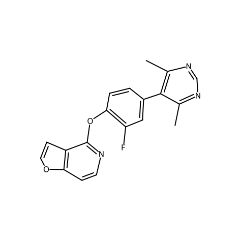 Cc1ncnc(C)c1-c1ccc(Oc2nccc3occc23)c(F)c1